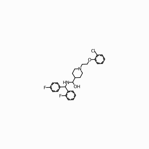 OC(NC(c1ccc(F)cc1)c1ccccc1F)C1CCN(CCOc2ccccc2Cl)CC1